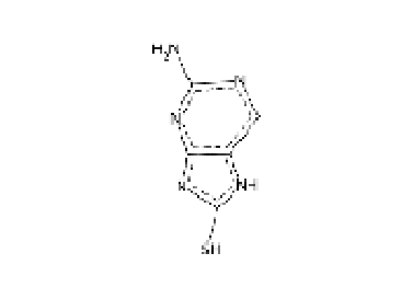 Nc1ncc2[nH]c(S)nc2n1